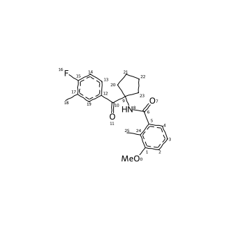 COc1cccc(C(=O)NC2(C(=O)c3ccc(F)c(C)c3)CCCC2)c1C